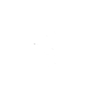 O=C(c1ccc(F)cc1)c1cc2c(cn1)[C@]1(Cc3ccccn3)CCC3(C[C@H]1CCC2)OCCO3